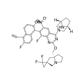 C#Cc1c(F)ccc2c(-c3c([N+](=O)[O-])cc4c(N5C[C@H]6CC[C@@H](C5)N6)nc(OC[C@]56CCCN5C[C@]5(CC5(F)F)C6)nc4c3F)c(O)ccc12